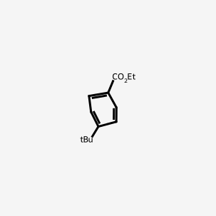 [CH2]COC(=O)c1ccc(C(C)(C)C)cc1